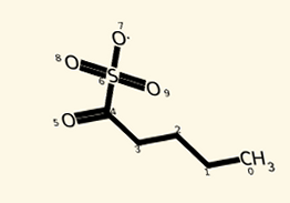 CCCCC(=O)S([O])(=O)=O